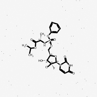 CC(C)OC(=O)[C@H](C)N[P@@](=O)(OC[C@H]1O[C@@H](n2ccc(=O)[nH]c2=O)[C@@](F)(Cl)[C@@H]1O)Oc1ccccc1